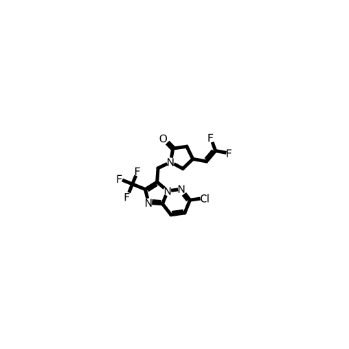 O=C1CC(C=C(F)F)CN1Cc1c(C(F)(F)F)nc2ccc(Cl)nn12